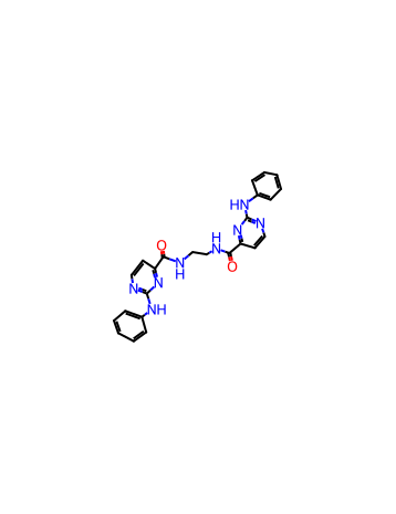 O=C(NCCNC(=O)c1ccnc(Nc2ccccc2)n1)c1ccnc(Nc2ccccc2)n1